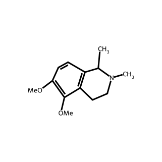 COc1ccc2c(c1OC)CCN(C)C2C